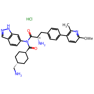 COc1ccc(-c2ccc(C[C@H](N)C(=O)N(c3ccc4cn[nH]c4c3)C(=O)[C@H]3CC[C@H](CN)CC3)cc2)c(C)n1.Cl